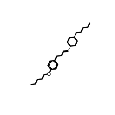 CCCCCOc1ccc(CC/C=C/[C@H]2CC[C@H](CCCCC)CC2)cc1